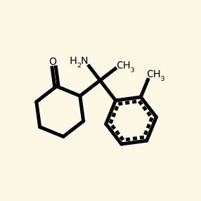 Cc1ccccc1C(C)(N)C1CCCCC1=O